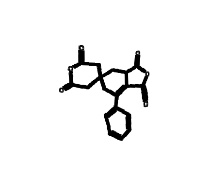 O=C1CC2(CC(=O)O1)CC(c1ccccc1)=C1C(=O)OC(=O)C1C2